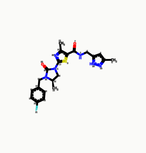 Cc1cc(CNC(=O)c2sc(N3C[C@@H](C)N(Cc4ccc(F)cc4)C3=O)nc2C)[nH]n1